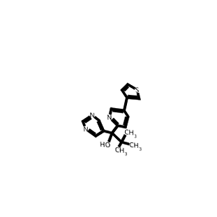 CC(C)(C)C(O)(c1cncnc1)c1ccc(-c2ccsc2)cn1